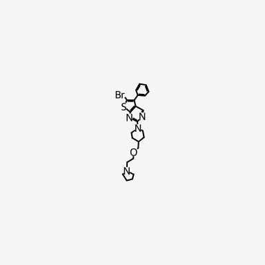 Brc1sc2nc(N3CCC(COCCN4CCCC4)CC3)ncc2c1-c1ccccc1